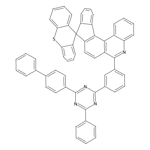 c1ccc(-c2ccc(-c3nc(-c4ccccc4)nc(-c4cccc(-c5nc6ccccc6c6c7c(ccc56)C5(c6ccccc6Sc6ccccc65)c5ccccc5-7)c4)n3)cc2)cc1